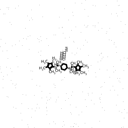 CC1=C(C)C(C)C([SiH](C)N(C)[C@H]2CC[C@H](N(C)[SiH](C)C3=C(C)C(C)=C(C)C3C)CC2)=C1C.Cl.Cl.Cl.Cl.[Ti].[Ti]